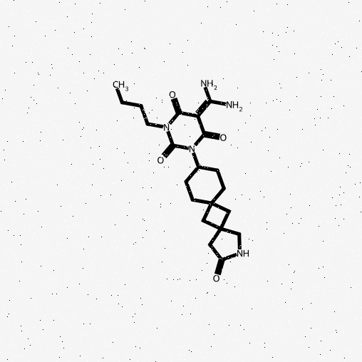 CCCCN1C(=O)C(=C(N)N)C(=O)N(C2CCC3(CC2)CC2(CNC(=O)C2)C3)C1=O